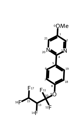 COc1cnc(-c2ccc(OC(F)(F)C(F)C(F)F)cc2)nc1